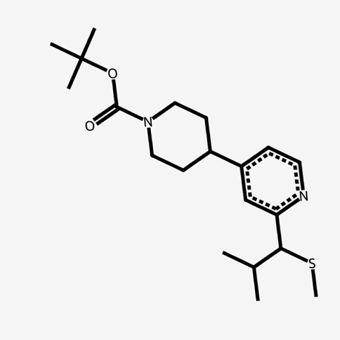 CSC(c1cc(C2CCN(C(=O)OC(C)(C)C)CC2)ccn1)C(C)C